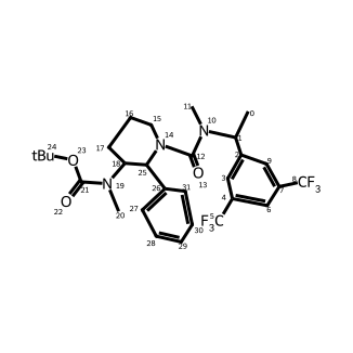 CC(c1cc(C(F)(F)F)cc(C(F)(F)F)c1)N(C)C(=O)N1CCCC(N(C)C(=O)OC(C)(C)C)C1c1ccccc1